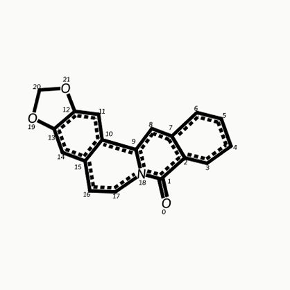 O=c1c2ccccc2cc2c3cc4c(cc3ccn12)OCO4